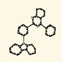 c1ccc(-c2nc(-c3cccc(-n4c5ccccc5c5ccccc54)c3)nc3ccccc23)cc1